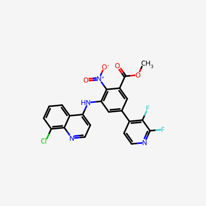 COC(=O)c1cc(-c2ccnc(F)c2F)cc(Nc2ccnc3c(Cl)cccc23)c1[N+](=O)[O-]